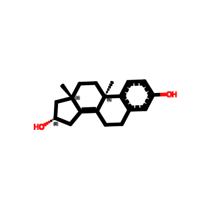 C[C@@]12CC[C@]3(C)C(=C1C[C@H](O)C2)CCc1cc(O)ccc13